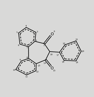 O=C1c2ccccc2-c2ccccc2C(=O)C1c1ccccc1